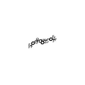 Cc1ccc2c(c1NC(=O)Cc1ccc(C(F)(F)F)c(F)c1)CCN(S(=O)(=O)Cc1ccc(C(F)(F)F)cc1)C2